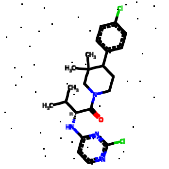 CC(C)[C@@H](Nc1ccnc(Cl)n1)C(=O)N1CCC(c2ccc(Cl)cc2)C(C)(C)C1